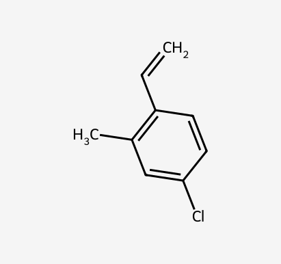 C=Cc1ccc(Cl)cc1C